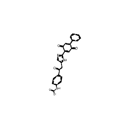 CCC(=O)Nc1ccc(C(=O)Cc2cnc(C3=CC(=O)C(c4ccccc4)=CC3=O)[nH]2)cc1